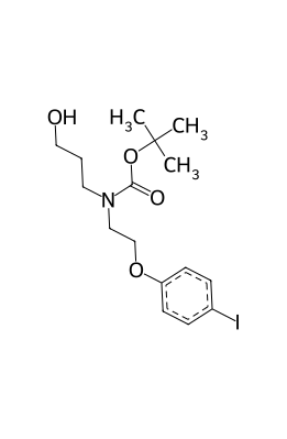 CC(C)(C)OC(=O)N(CCCO)CCOc1ccc(I)cc1